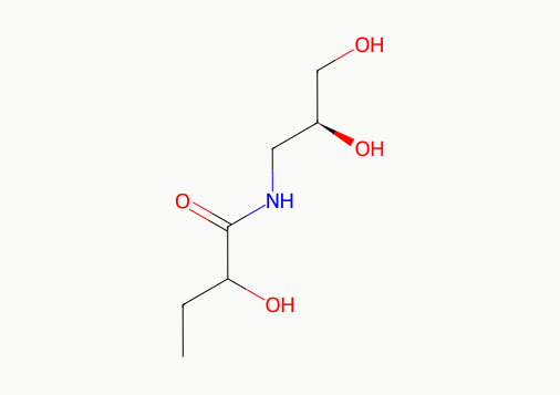 CCC(O)C(=O)NC[C@H](O)CO